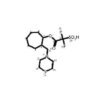 O=C(OC1CCCCCC1CN1CCSCC1)C(F)(F)S(=O)(=O)O